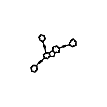 C(#Cc1ccc2c(c1)Cc1cc(C#Cc3ccccc3)cc(C#Cc3ccccc3)c1-2)c1ccccc1